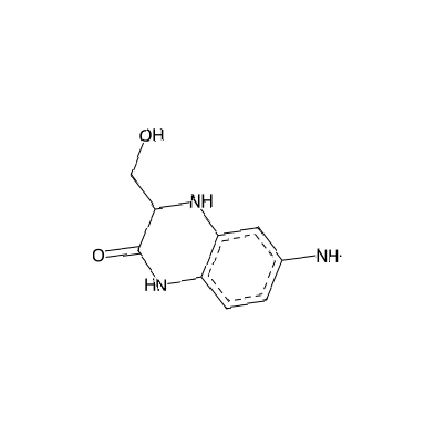 [NH]c1ccc2c(c1)NC(CO)C(=O)N2